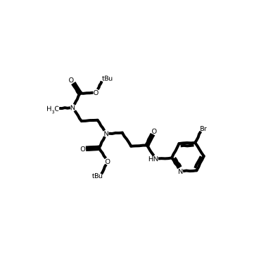 CN(CCN(CCC(=O)Nc1cc(Br)ccn1)C(=O)OC(C)(C)C)C(=O)OC(C)(C)C